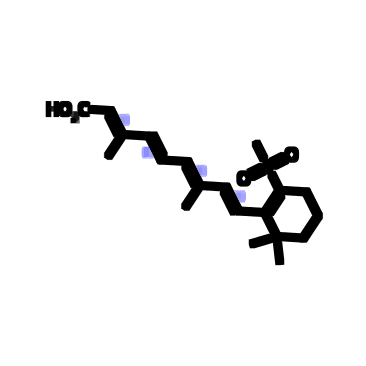 CC(/C=C/C1=C(S(C)(=O)=O)CCCC1(C)C)=C\C=C\C(C)=C\C(=O)O